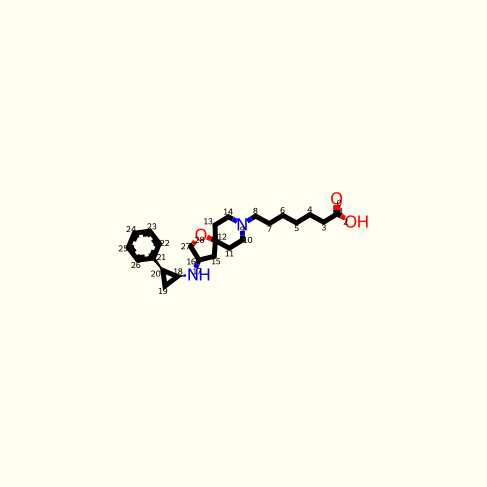 O=C(O)CCCCCCN1CCC2(CC1)CC(N[C@@H]1C[C@H]1c1ccccc1)CO2